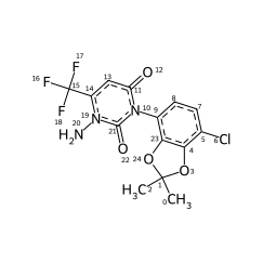 CC1(C)Oc2c(Cl)ccc(-n3c(=O)cc(C(F)(F)F)n(N)c3=O)c2O1